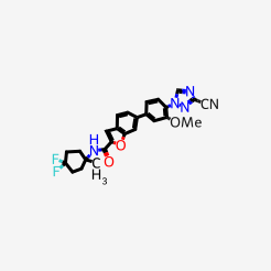 COc1cc(-c2ccc3cc(C(=O)NC4(C)CCC(F)(F)CC4)oc3c2)ccc1-n1cnc(C#N)n1